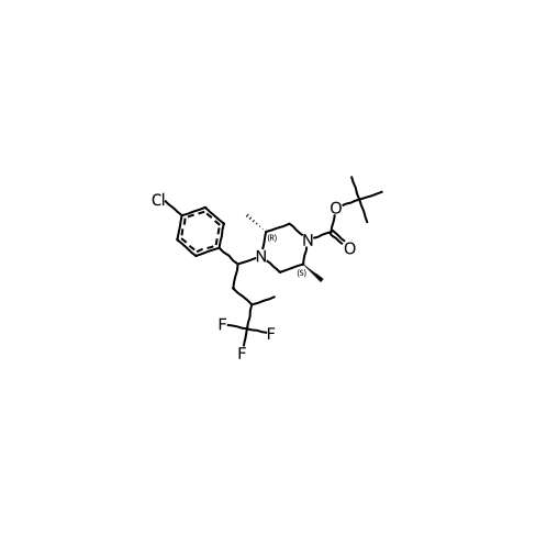 CC(CC(c1ccc(Cl)cc1)N1C[C@H](C)N(C(=O)OC(C)(C)C)C[C@H]1C)C(F)(F)F